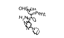 CCCCC[C@H](CN(O)C=O)C(=O)N(N)c1cc(N2CCOCC2)ncn1